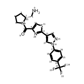 NC[C@H]1CCCN1C(=O)c1csc(-c2cnn(-c3ccc(C(F)(F)F)cc3)c2)n1